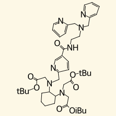 CC(C)COC(=O)CN(CC(=O)OC(C)(C)C)C1CCCCC1N(CC(=O)OC(C)(C)C)Cc1ccc(C(=O)NCCN(Cc2ccccn2)Cc2ccccn2)cn1